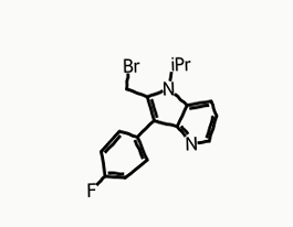 CC(C)n1c(CBr)c(-c2ccc(F)cc2)c2ncccc21